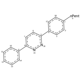 CCCCCc1ccc(-c2ccc(-c3ccccc3)nn2)cc1